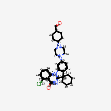 O=CC1CCC(N2CCN(c3ccc4c(c3)-n3c(nc(=O)c5c(Cl)cccc53)C43CCCCC3)CC2)CC1